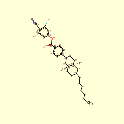 CCCCCCC[C@H]1CC[C@@H]2CC(c3ccc(C(=O)Oc4cc(F)c(C#N)c(F)c4)cc3)CC[C@H]2C1